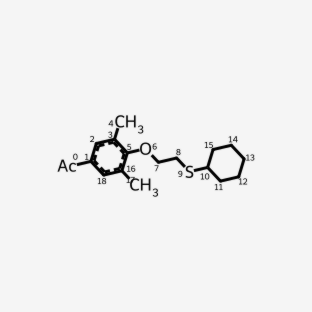 CC(=O)c1cc(C)c(OCCSC2CCCCC2)c(C)c1